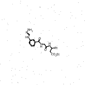 CCOC(=O)CC(NC(=O)CNC(=O)c1cccc(NC=NN)c1)C(C)C